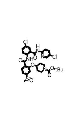 C[S+]([O-])c1ccc(C(=O)Nc2ccc(Cl)cc2C(=O)Nc2ccc(Cl)cn2)c(OC2CCN(C(=O)OC(C)(C)C)CC2)c1